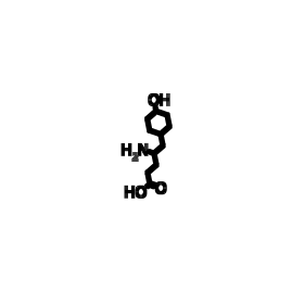 NC(CCC(=O)O)CC1CCC(O)CC1